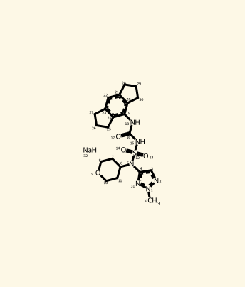 Cn1ncc(N(C2CCOCC2)S(=O)(=O)NC(=O)Nc2c3c(cc4c2CCC4)CCC3)n1.[NaH]